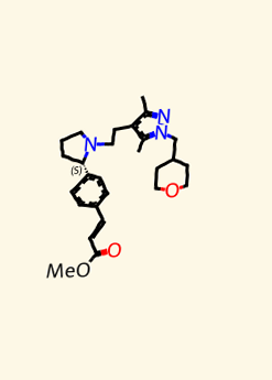 COC(=O)C=Cc1ccc([C@@H]2CCCN2CCc2c(C)nn(CC3CCOCC3)c2C)cc1